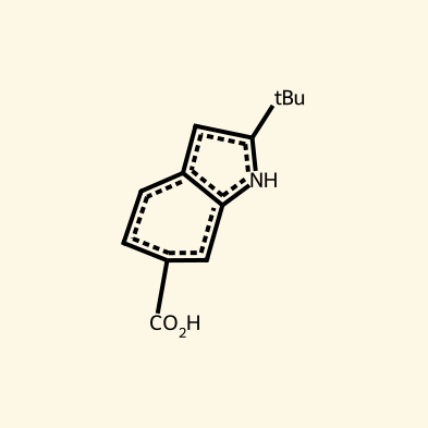 CC(C)(C)c1cc2ccc(C(=O)O)cc2[nH]1